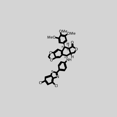 COc1cc([C@@H]2c3cc4c(cc3[C@@H](Nc3ccc(-c5nc6c(Cl)cc(Cl)cc6s5)cc3)[C@H]3COC(=O)[C@H]23)OCO4)cc(OC)c1OC